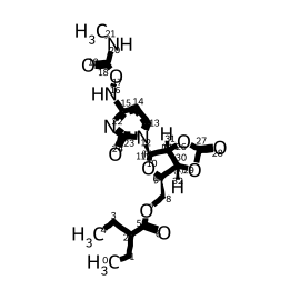 CCC(CC)C(=O)OC[C@H]1O[C@@H](n2ccc(NOC(=O)NC)nc2=O)[C@@H]2OC(=O)O[C@@H]21